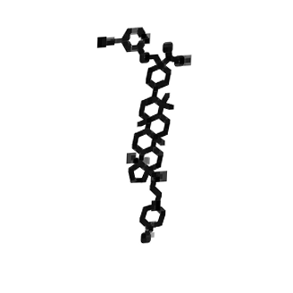 CC1(C)C(C2=CCC(COc3cc(C#N)ccn3)(C(=O)O)CC2)=CCC2(C)C1CCC1(C)C3CCC4(NCCN5CC[S+]([O-])CC5)CCC[C@@H]4C3CCC12